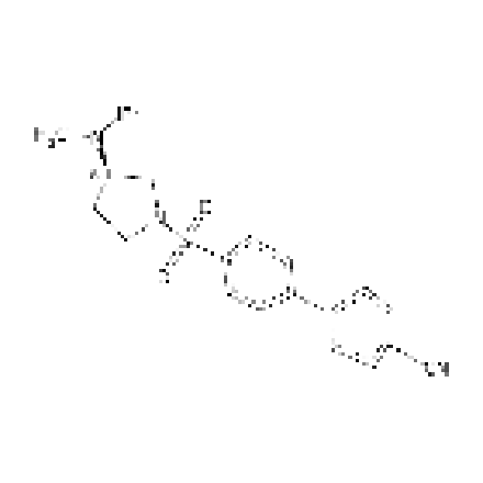 CC(C)N(C)[C@@H]1CCN(S(=O)(=O)c2ccc(-c3ccc(C#N)cc3)cc2)C1